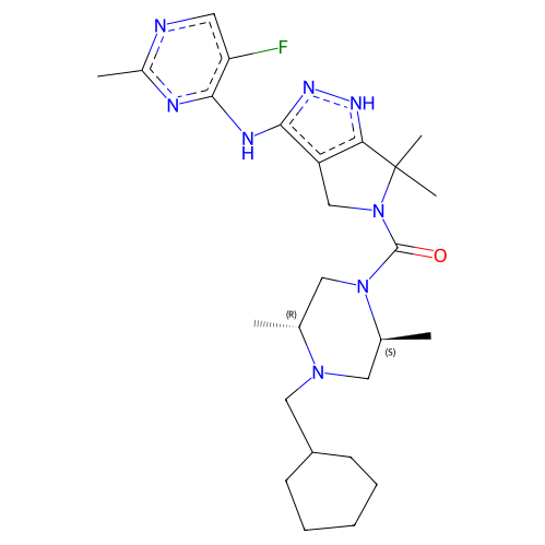 Cc1ncc(F)c(Nc2n[nH]c3c2CN(C(=O)N2C[C@@H](C)N(CC4CCCCC4)C[C@@H]2C)C3(C)C)n1